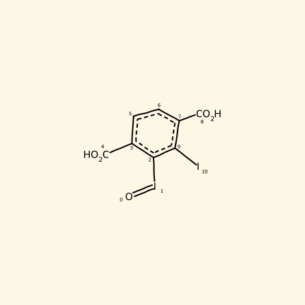 O=Ic1c(C(=O)O)ccc(C(=O)O)c1I